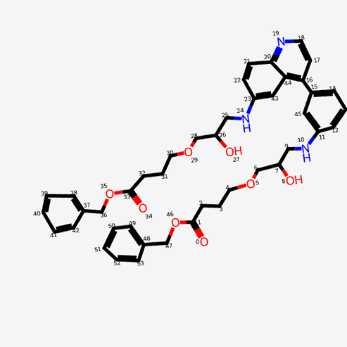 O=C(CCCOCC(O)CNc1cccc(-c2ccnc3ccc(NCC(O)COCCCC(=O)OCc4ccccc4)cc23)c1)OCc1ccccc1